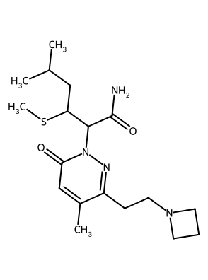 CSC(CC(C)C)C(C(N)=O)n1nc(CCN2CCC2)c(C)cc1=O